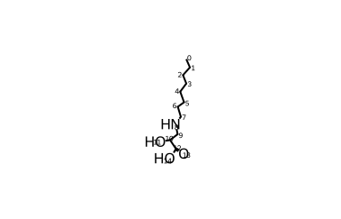 CCCCCCCCNCC(O)C(=O)O